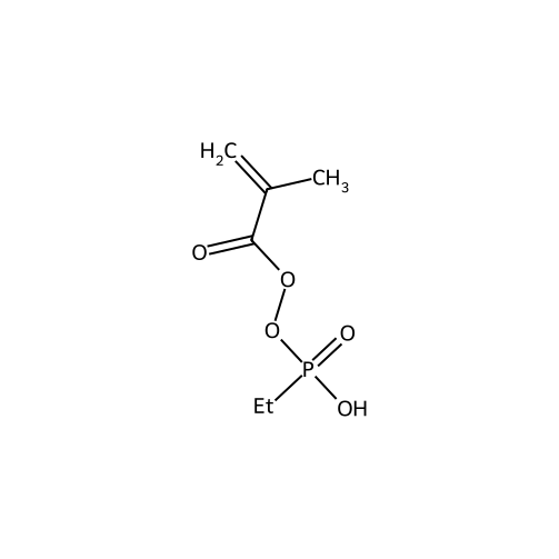 C=C(C)C(=O)OOP(=O)(O)CC